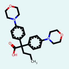 CCCC(C(=O)O)(c1ccc(N2CCOCC2)cc1)c1ccc(N2CCOCC2)cc1